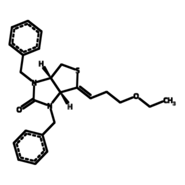 CCOCCC=C1SC[C@@H]2[C@H]1N(Cc1ccccc1)C(=O)N2Cc1ccccc1